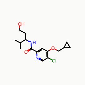 CC(C)C(CCO)NC(=O)c1cc(OCC2CC2)c(Cl)cn1